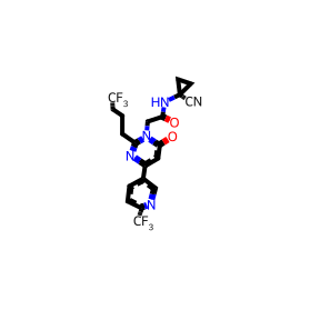 N#CC1(NC(=O)Cn2c(CCCC(F)(F)F)nc(-c3ccc(C(F)(F)F)nc3)cc2=O)CC1